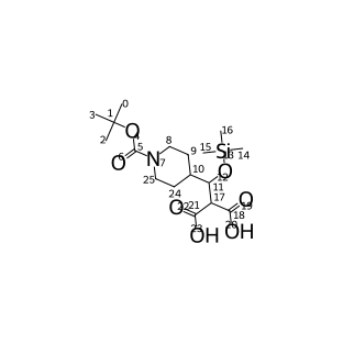 CC(C)(C)OC(=O)N1CCC(C(O[Si](C)(C)C)C(C(=O)O)C(=O)O)CC1